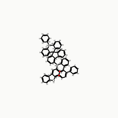 c1ccc(-c2ccccc2-c2ccccc2N(c2ccc3oc4ccccc4c3c2)c2cccc3c2-c2ccccc2C32c3ccccc3N(c3ccccc3)c3ccccc32)cc1